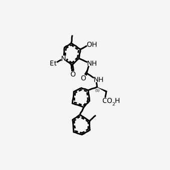 CCn1cc(C)c(O)c(NC(=O)N[C@@H](CC(=O)O)c2cccc(-c3ccccc3C)c2)c1=O